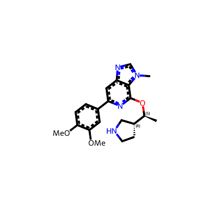 COc1ccc(-c2cc3ncn(C)c3c(O[C@@H](C)[C@@H]3CCNC3)n2)cc1OC